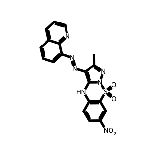 Cc1nn2c(c1/N=N/c1cccc3cccnc13)Nc1ccc([N+](=O)[O-])cc1S2(=O)=O